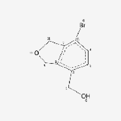 OCc1ccc(Br)c2c1COC2